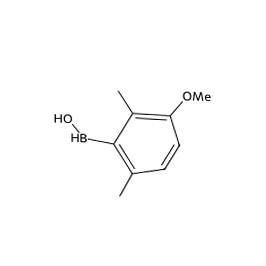 COc1ccc(C)c(BO)c1C